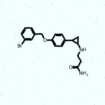 NC(=O)CCNC1CC1c1ccc(OCc2cccc(Br)c2)cc1